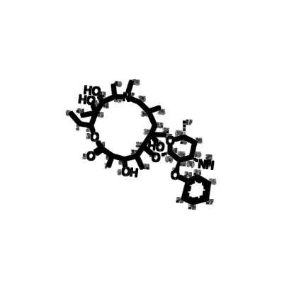 CCC1OC(=O)C(C)C(O)C(C)C(O[C@@H]2O[C@H](C)C[C@H](NC)[C@H]2Oc2ccccc2)C(C)(O)CC(C)CN(C)C(C)C(O)C1(C)O